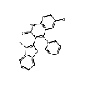 Cc1c(-c2c(-c3ccccc3)c3cc(Cl)ccc3[nH]c2=O)sc2ccccc12